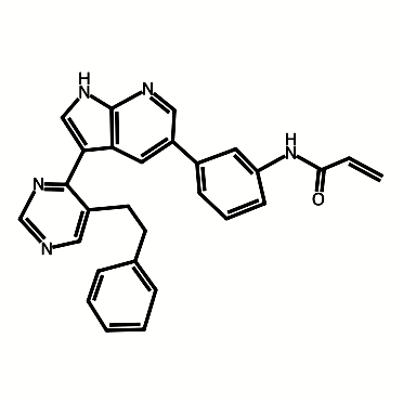 C=CC(=O)Nc1cccc(-c2cnc3[nH]cc(-c4ncncc4CCc4ccccc4)c3c2)c1